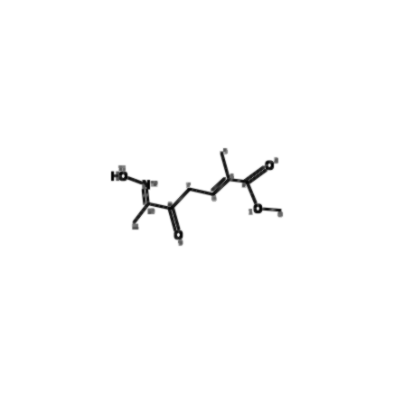 COC(=O)C(C)=CCC(=O)C(C)=NO